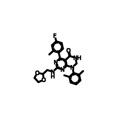 Cc1cc(F)ccc1-c1nc(NCC2OCCO2)nc2c1C(=O)NCN2c1c(C)cccc1C